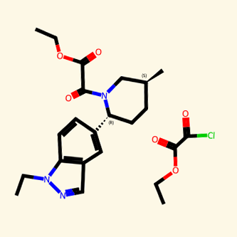 CCOC(=O)C(=O)Cl.CCOC(=O)C(=O)N1C[C@@H](C)CC[C@@H]1c1ccc2c(cnn2CC)c1